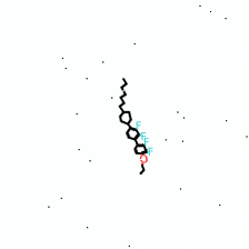 CCCCCCCC1CCC(c2ccc(-c3ccc(OCCC)c(F)c3F)c(F)c2F)CC1